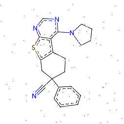 N#CC1(c2ccccc2)CCc2c(sc3ncnc(N4CCCC4)c23)C1